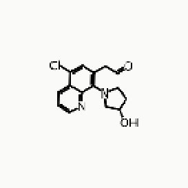 O=CCc1cc(Cl)c2cccnc2c1N1CC[C@@H](O)C1